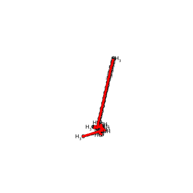 CCCCCCCCCCCCCCCCCCCC(=O)NC(CCC(=O)O)C(=O)N[C@@H](CCC(=O)O)C(=O)N[C@H](C(=O)N[C@@H](CCCCNC(=O)CCOCCOCCOCCOCCOCCOCCOCCOCCOCCOCCOCCOCCOCCOCCOCCOCCOCCOCCOCCOCCOCCOCCOCCOC)C(=O)N1CCN(C)CC1)[C@@H](C)CC